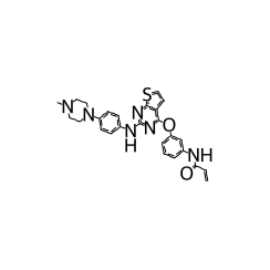 C=CC(=O)Nc1cccc(Oc2nc(Nc3ccc(N4CCN(C)CC4)cc3)nc3sccc23)c1